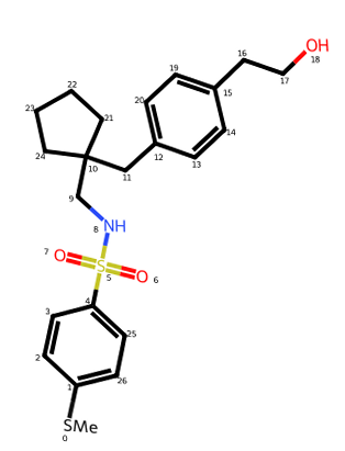 CSc1ccc(S(=O)(=O)NCC2(Cc3ccc(CCO)cc3)CCCC2)cc1